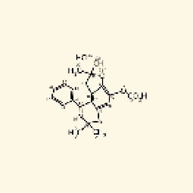 CC1(C)Cc2cc(OC(=O)O)c3c(c2C(c2ccccc2)=N1)CC(C)(C)O3.Cl